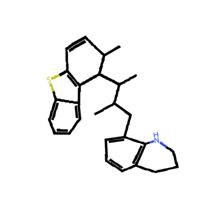 CC1C=Cc2sc3ccccc3c2C1C(C)C(C)Cc1cccc2c1NCCC2